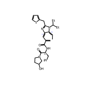 C=C(/C=c1/nc(Cc2cccs2)n(C(CC)CC)/c1=C/C)C(=O)N[C@@H](CC(C)C)C(=O)N1CCC(O)C1